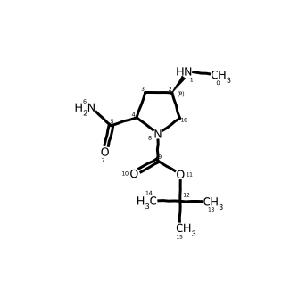 CN[C@@H]1CC(C(N)=O)N(C(=O)OC(C)(C)C)C1